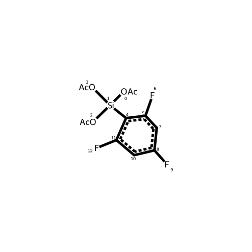 CC(=O)O[Si](OC(C)=O)(OC(C)=O)c1c(F)cc(F)cc1F